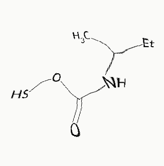 CCC(C)NC(=O)OS